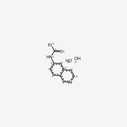 CCC(=O)Nc1ccc2cnccc2c1.Cl.Cl